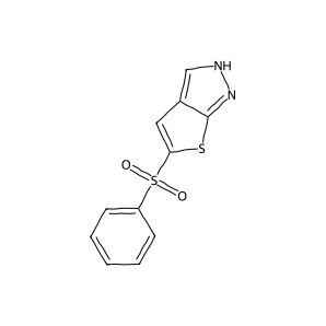 O=S(=O)(c1ccccc1)c1cc2c[nH]nc2s1